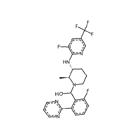 C[C@H]1[C@H](Nc2ncc(C(F)(F)F)cc2F)CCCN1C(O)c1c(F)cccc1-c1ncccn1